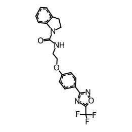 O=C(NCCOc1ccc(-c2noc(C(F)(F)F)n2)cc1)N1CCc2ccccc21